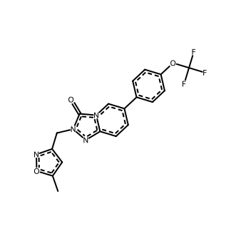 Cc1cc(Cn2nc3ccc(-c4ccc(OC(F)(F)F)cc4)cn3c2=O)no1